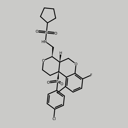 O=S(=O)(NC[C@@H]1OCC[C@@]2(S(=O)(=O)c3ccc(Cl)cc3)c3c(F)ccc(F)c3OC[C@@H]12)C1CCCC1